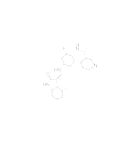 Cc1cccc2c1/C(=C/Nc1ccc(NC(C)c3cccnc3)c(F)c1)C(=O)N2